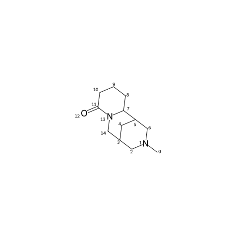 CN1CC2CC(C1)C1CCCC(=O)N1C2